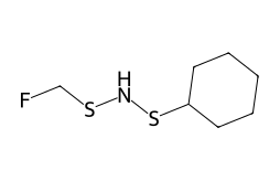 FCSNSC1CCCCC1